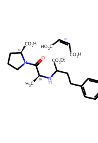 CCOC(=O)C(CCc1ccccc1)N[C@@H](C)C(=O)N1CCC[C@H]1C(=O)O.O=C(O)/C=C\C(=O)O